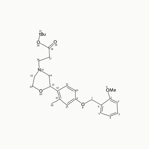 COc1ccccc1COc1ccc(C2CN(CCC(=O)OC(C)(C)C)CCO2)c(C)c1